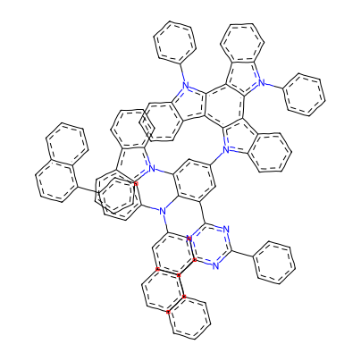 c1ccc(-c2ccc(N(c3ccc(-c4cccc5ccccc45)cc3)c3c(-c4nc(-c5ccccc5)nc(-c5ccccc5)n4)cc(-n4c5ccccc5c5c6c(c7ccccc7n6-c6ccccc6)c6c(c7ccccc7n6-c6ccccc6)c54)cc3-n3c4ccccc4c4ccccc43)cc2)cc1